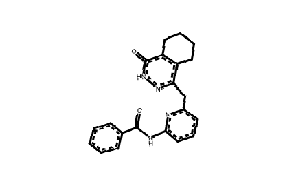 O=C(Nc1cccc(Cc2n[nH]c(=O)c3c2CCCC3)n1)c1ccccc1